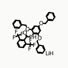 O=C(Pc1c(OCc2ccccc2)cc(OCc2ccccc2)cc1OCc1ccccc1)c1c(C(F)(F)F)cccc1C(F)(F)F.[LiH]